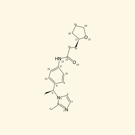 Cc1nccn1[C@@H](C)c1ccc(NC(=O)CC[C@H]2CCCO2)cc1